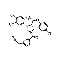 C[C@H](Oc1ccc(Cl)cn1)[C@@H]1CN(C(=O)c2ccc(CC#N)o2)C[C@@H]1c1ccc(Cl)c(Cl)c1